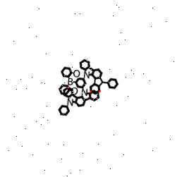 c1ccc(C2c3ccccc3-c3c2ccc2c4ccccc4n(-c4cc(-n5c6ccccc6c6ccc7c(c8ccccc8n7-c7ccccc7)c65)c5c6c4Oc4ccccc4B6c4ccccc4O5)c32)cc1